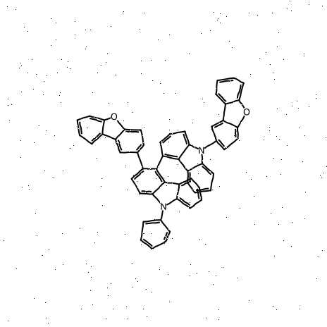 c1ccc(-n2c3ccccc3c3c(-c4cccc5c4c4ccccc4n5-c4ccc5oc6ccccc6c5c4)c(-c4ccc5oc6ccccc6c5c4)ccc32)cc1